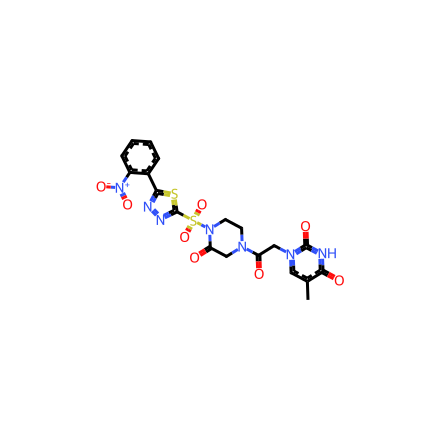 Cc1cn(CC(=O)N2CCN(S(=O)(=O)c3nnc(-c4ccccc4[N+](=O)[O-])s3)C(=O)C2)c(=O)[nH]c1=O